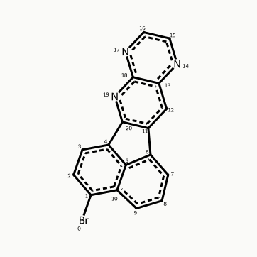 Brc1ccc2c3c(cccc13)-c1cc3nccnc3nc1-2